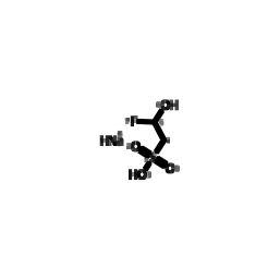 O=S(=O)(O)CC(O)F.[NaH]